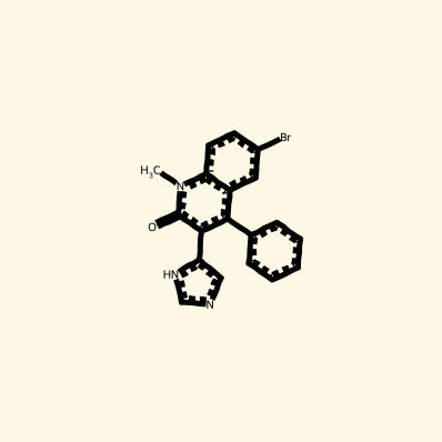 Cn1c(=O)c(-c2cnc[nH]2)c(-c2ccccc2)c2cc(Br)ccc21